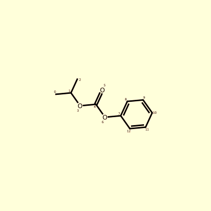 CC(C)OC(=O)Oc1ccccc1